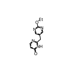 CCOc1ncc(Cc2nccc(=O)[nH]2)cn1